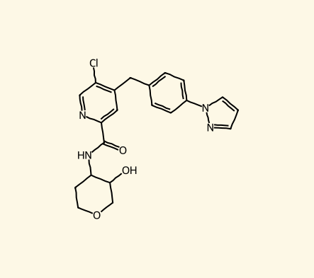 O=C(NC1CCOCC1O)c1cc(Cc2ccc(-n3cccn3)cc2)c(Cl)cn1